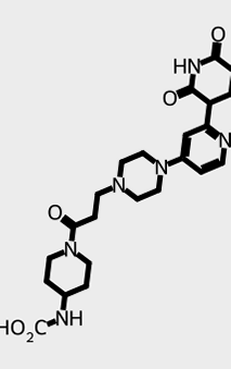 O=C(O)NC1CCN(C(=O)CCN2CCN(c3ccnc(C4CCC(=O)NC4=O)c3)CC2)CC1